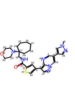 Cn1cc(-c2cnc3c(-c4csc(C(=O)NCC5(N6CCOCC6)CCCCCC5)c4)cnn3c2)cn1